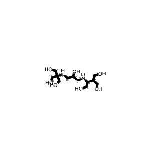 OCC(CO)C(CO)NCC(O)CNC(CO)(CO)CO